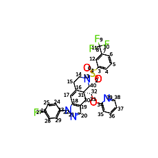 O=S(=O)(c1cccc(C(F)(F)F)c1)N1CCC2=Cc3c(cnn3-c3ccc(F)cc3)C[C@]2(COc2ccccn2)C1